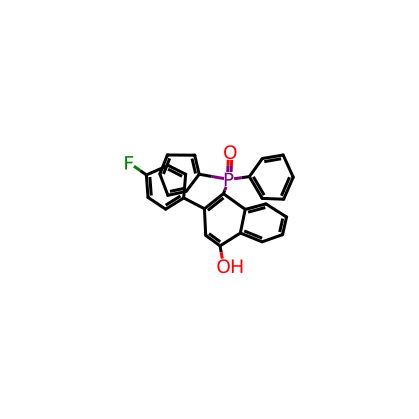 O=P(c1ccccc1)(c1ccccc1)c1c(-c2ccc(F)cc2)cc(O)c2ccccc12